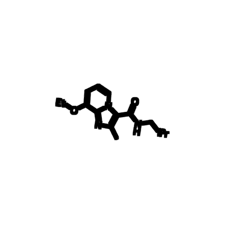 CCOc1cccn2c(C(=O)NCC(C)C)c(C)nc12